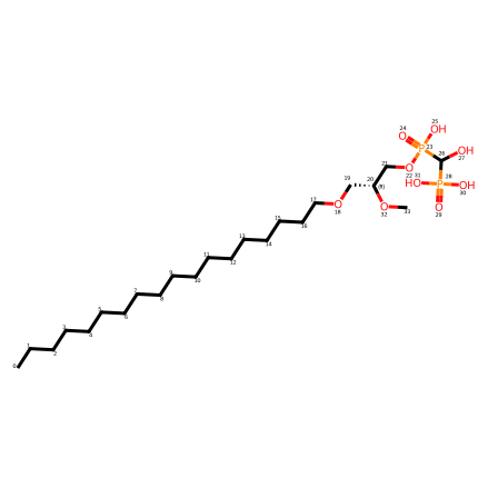 CCCCCCCCCCCCCCCCCCOC[C@H](COP(=O)(O)C(O)P(=O)(O)O)OC